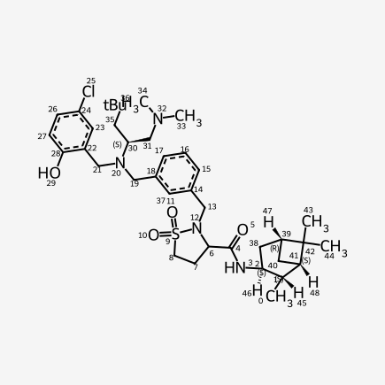 C[C@@H]1[C@@H](NC(=O)C2CCS(=O)(=O)N2Cc2cccc(CN(Cc3cc(Cl)ccc3O)[C@H](CN(C)C)CC(C)(C)C)c2)C[C@H]2C[C@@H]1C2(C)C